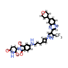 O=C1CCC(N2C(=O)c3ccc(NCCCC4CC(n5cc(-c6cnc7ccc(C8CCOCC8)cc7n6)c(C(F)(F)F)n5)C4)cc3C2=O)C(=O)N1